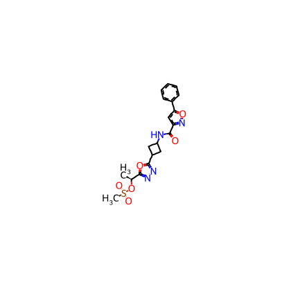 C[C@H](OS(C)(=O)=O)c1nnc(C2CC(NC(=O)c3cc(-c4ccccc4)on3)C2)o1